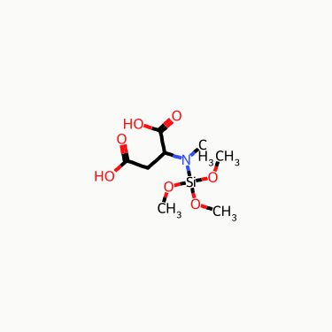 CO[Si](OC)(OC)N(C)C(CC(=O)O)C(=O)O